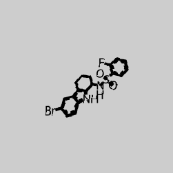 O=S(=O)(NC1CCCc2c1[nH]c1ccc(Br)cc21)c1ccccc1F